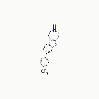 FC(F)(F)c1ccc(-c2ccc3c(c2)cc2n3CCNCC2)cc1